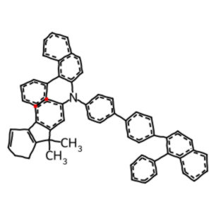 CC1(C)C2=C(C=CCC2)c2ccc(N(c3ccc(-c4ccc(-c5ccc6ccccc6c5-c5ccccc5)cc4)cc3)c3ccc4ccccc4c3-c3ccccc3)cc21